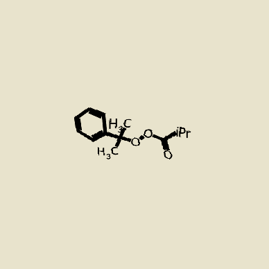 CC(C)C(=O)OOC(C)(C)c1ccccc1